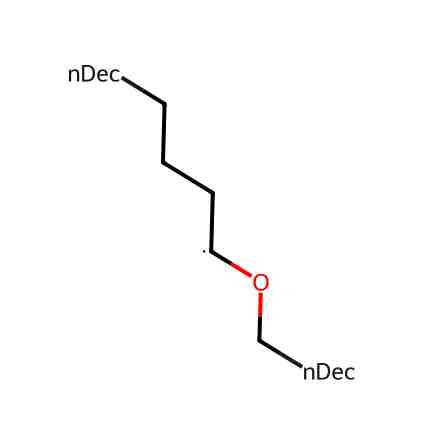 CCCCCCCCCCCCC[CH]OCCCCCCCCCCC